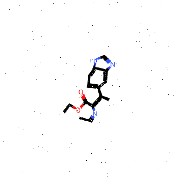 C/C=N\C(C(=O)OCC)=C(/C)c1ccc2[nH]cnc2c1